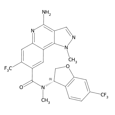 CN(C(=O)c1cc2c(cc1C(F)(F)F)nc(N)c1cnn(C)c12)[C@@H]1COc2cc(C(F)(F)F)ccc21